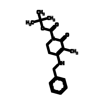 CC1=C(NCc2ccccc2)CCN(C(=O)OC(C)(C)C)C1=O